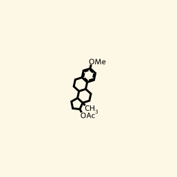 COc1ccc2c(c1)CCC1C2CCC2(C)C(OC(C)=O)CCC12